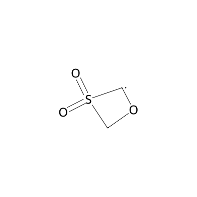 O=S1(=O)[CH]OC1